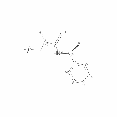 C[C@H](NC(=O)[C@@H](C)CC(F)(F)F)c1ccccc1